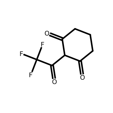 O=C1CCCC(=O)C1C(=O)C(F)(F)F